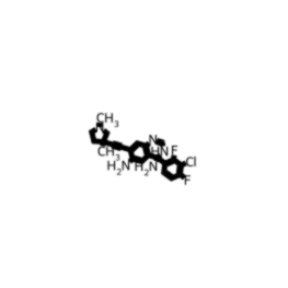 CN1CCC(C)(C#Cc2cc3c(cc2N)C(N)(c2ccc(F)c(Cl)c2F)NC=N3)C1